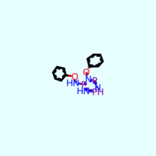 c1ccc(ONp2[nH][pH]npn2Oc2ccccc2)cc1